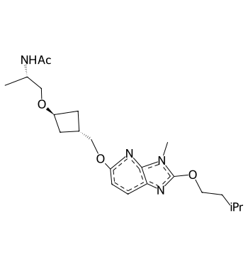 CC(=O)N[C@@H](C)CO[C@H]1C[C@H](COc2ccc3nc(OCCC(C)C)n(C)c3n2)C1